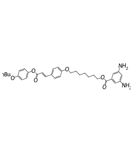 CCCCOc1ccc(OC(=O)C=Cc2ccc(OCCCCCCCOC(=O)c3cc(N)cc(N)c3)cc2)cc1